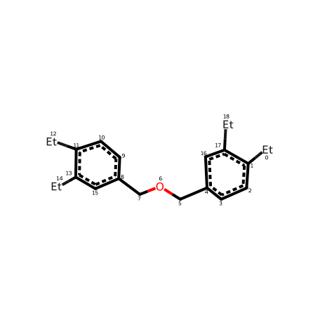 CCc1ccc(COCc2ccc(CC)c(CC)c2)cc1CC